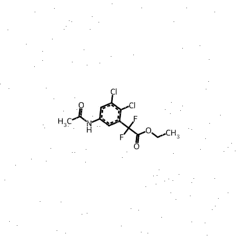 CCOC(=O)C(F)(F)c1cc(NC(C)=O)cc(Cl)c1Cl